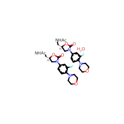 CC(=O)NC[C@H]1CN(c2ccc(N3CCOCC3)c(F)c2)C(=O)O1.CC(=O)NC[C@H]1CN(c2ccc(N3CCOCC3)c(F)c2)C(=O)O1.O